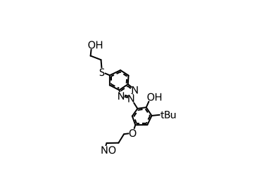 CC(C)(C)c1cc(OCCCN=O)cc(-n2nc3ccc(SCCO)cc3n2)c1O